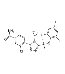 CC(C)(Oc1c(F)cc(F)cc1F)c1nnc(-c2ccc(C(N)=O)cc2Cl)n1C1CC1